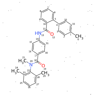 Cc1ccc(-c2ccccc2C(=O)Nc2ccc(C(=O)N(C)c3c(C)cccc3C)cc2)cc1